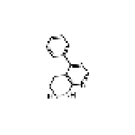 c1ccc(-c2ncnc3c2CCNN3)cc1